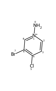 N[n+]1ccc(Cl)c(Br)c1